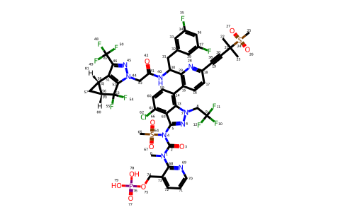 CN(C(=O)N(c1nn(CC(F)(F)F)c2c(-c3ccc(C#CC(C)(C)S(C)(=O)=O)nc3C(Cc3cc(F)cc(F)c3)NC(=O)Cn3nc(C(F)(F)F)c4c3C(F)(F)[C@@H]3C[C@H]43)ccc(Cl)c12)S(C)(=O)=O)c1ncccc1COP(=O)(O)O